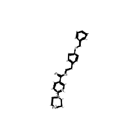 O=C(NCCc1ccc(OCc2ccccc2)cc1)c1ccc(N2CCNCC2)nc1